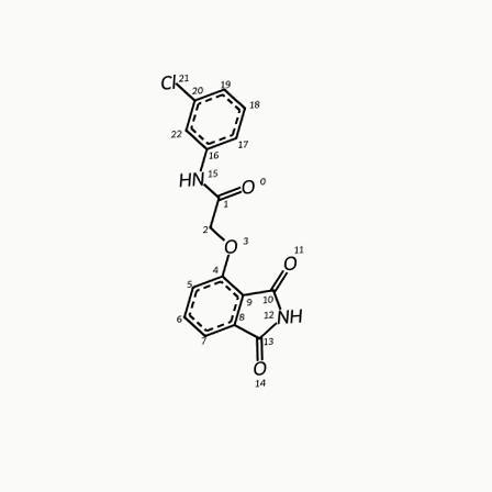 O=C(COc1cccc2c1C(=O)NC2=O)Nc1cccc(Cl)c1